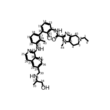 CCN1CCc2c(nc(C(=O)Nc3cccc(-c4cccc(Nc5nccc6cc(CNC(C)CO)cnc56)c4C)c3Cl)n2C)C1